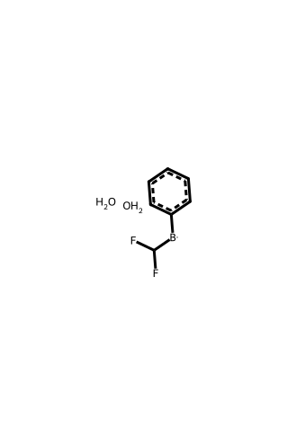 FC(F)[B]c1ccccc1.O.O